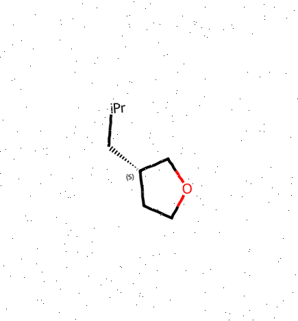 CC(C)C[C@H]1CCOC1